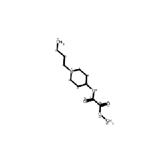 CCCCN1CCC(OC(=O)C(=O)OC)CC1